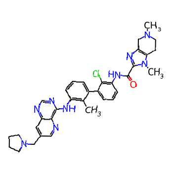 Cc1c(Nc2ncnc3cc(CN4CCCC4)cnc23)cccc1-c1cccc(NC(=O)c2nc3c(n2C)CCN(C)C3)c1Cl